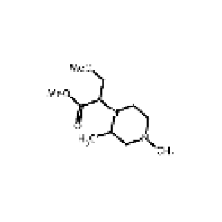 COCC(C(=O)OC)N1CCN(C)CC1C